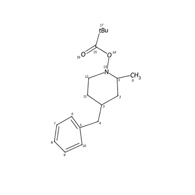 CC1CC(Cc2ccccc2)CCN1OC(=O)C(C)(C)C